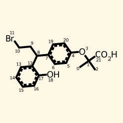 CC(C)(Oc1ccc(C(CCBr)c2ccccc2O)cc1)C(=O)O